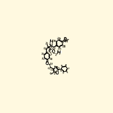 Cc1oc(-c2ccccc2)nc1CCOc1ccc(C[C@](C)(NCc2ccc(Br)cc2)C(=O)O)cc1